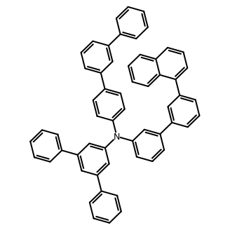 c1ccc(-c2cccc(-c3ccc(N(c4cccc(-c5cccc(-c6cccc7ccccc67)c5)c4)c4cc(-c5ccccc5)cc(-c5ccccc5)c4)cc3)c2)cc1